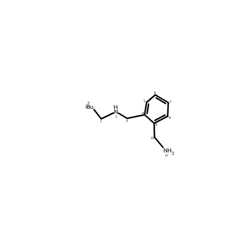 CCC(C)CNCc1ccccc1CN